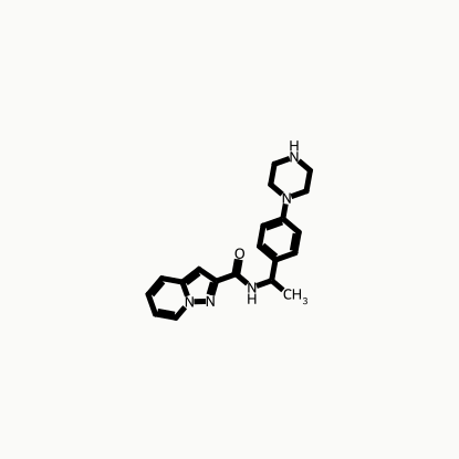 CC(NC(=O)c1cc2ccccn2n1)c1ccc(N2CCNCC2)cc1